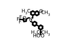 COc1ccc2c(CN(Cc3ccc(-c4cccc(C(C)(C)C(=O)O)c4)cc3)Cc3ccc(C(F)(F)F)o3)cc(C)cc2c1